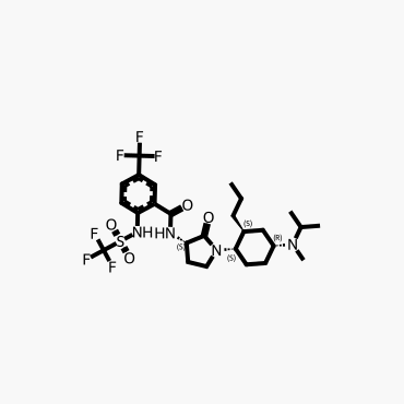 CCC[C@H]1C[C@H](N(C)C(C)C)CC[C@@H]1N1CC[C@H](NC(=O)c2cc(C(F)(F)F)ccc2NS(=O)(=O)C(F)(F)F)C1=O